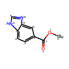 CC(C)(C)OC(=O)c1ccc2[nH]cnc2c1